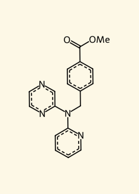 COC(=O)c1ccc(CN(c2ccccn2)c2cnccn2)cc1